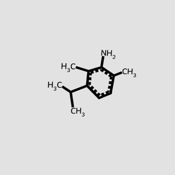 Cc1ccc(C(C)C)c(C)c1N